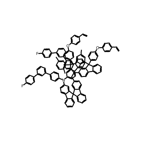 C=Cc1ccc(Oc2ccc(C3(c4cc(C)ccc4C)c4ccccc4-c4ccc(C(Cc5ccc6c(c5)C5(c7ccccc7-6)c6ccccc6-c6ccc(N(c7ccc(-c8cccc(-c9ccc(F)cc9)c8)cc7)c7ccc8c(c7)C(c7ccc(Oc9ccc(C=C)cc9)cc7)(c7cc(C)ccc7C)c7ccccc7-8)cc65)c5ccc(-c6cccc(-c7ccc(F)cc7)c6)cc5)cc43)cc2)cc1